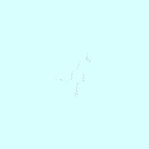 CCc1nc(NC(=O)O)ccc1C#N